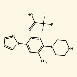 Cc1nc(-n2cccn2)ccc1N1CCNCC1.O=C(O)C(F)(F)F